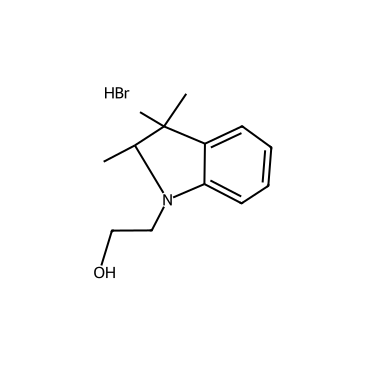 Br.CC1N(CCO)c2ccccc2C1(C)C